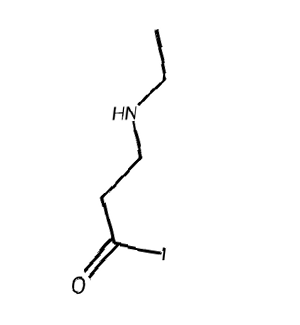 CCNCCC(=O)I